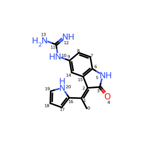 CC(=C1C(=O)Nc2ccc(NC(=N)N)cc21)c1ccc[nH]1